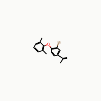 C=C(C)c1ccc(Oc2c(C)cccc2C)c(Br)c1